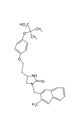 Cc1cc2ccccc2cc1CN1CC(CCOc2ccc(OC(C)(C)C(=O)O)cc2)NC1=O